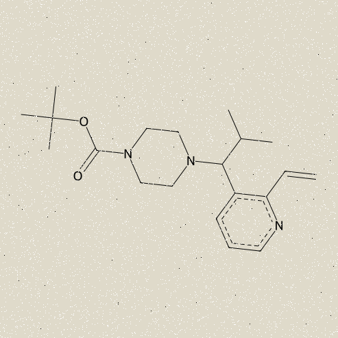 C=Cc1ncccc1C(C(C)C)N1CCN(C(=O)OC(C)(C)C)CC1